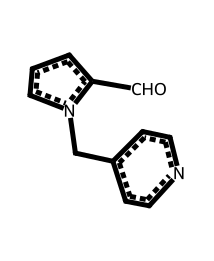 O=Cc1cccn1Cc1ccncc1